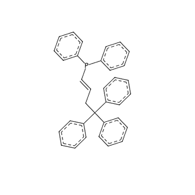 C(=CP(c1ccccc1)c1ccccc1)CC(c1ccccc1)(c1ccccc1)c1ccccc1